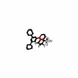 O=S(=O)(O)c1c(F)c(F)c(Sc2c(C3CCCCC3)cc(C3CCCCC3)cc2C2CCCCC2)c(F)c1F